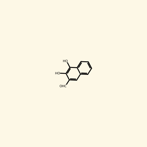 O=Cc1cc2ccccc2c(O)c1O